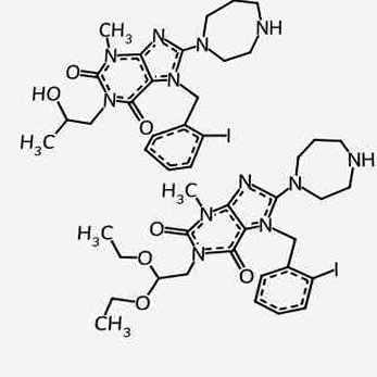 CC(O)Cn1c(=O)c2c(nc(N3CCCNCC3)n2Cc2ccccc2I)n(C)c1=O.CCOC(Cn1c(=O)c2c(nc(N3CCCNCC3)n2Cc2ccccc2I)n(C)c1=O)OCC